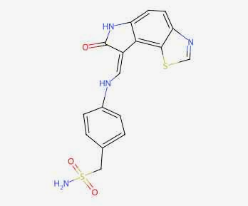 NS(=O)(=O)Cc1ccc(NC=C2C(=O)Nc3ccc4ncsc4c32)cc1